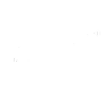 CSCCCCCCCCCCCC(=O)N1CCCCC1